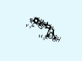 CN1Cc2c3c(nn2C[C@@H](CO)O1)CCN(C(=O)Nc1ccc(F)c(C(F)(F)F)c1)C3